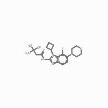 CC(C)(O)CC(=O)Nc1nc2ccc(N3CCOCC3)c(F)c2n1C1CCC1